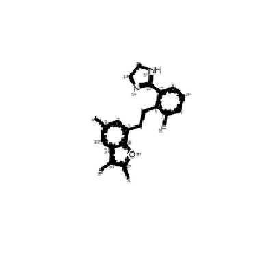 Cc1cc(CCc2c(F)cccc2C2=NCCN2)c2oc(C)c(C)c2c1